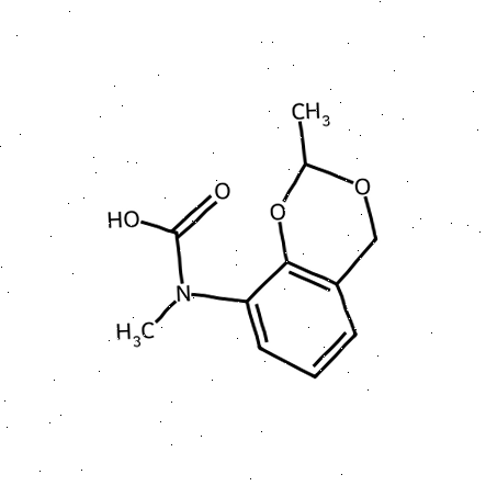 CC1OCc2cccc(N(C)C(=O)O)c2O1